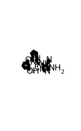 C[C@H](Nc1ncnc(N)c1C#N)c1nc(Oc2cccc(O)c2)c2cccn2n1